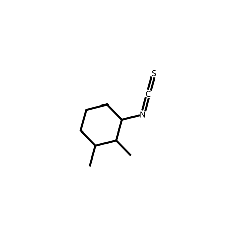 CC1CCCC(N=C=S)C1C